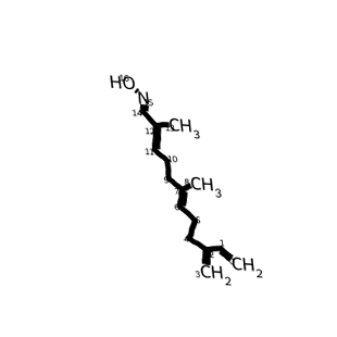 C=CC(=C)CC/C=C(\C)CC/C=C(C)/C=N/O